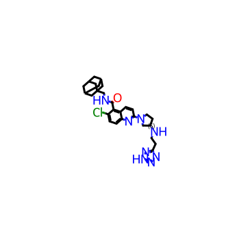 O=C(NCC12CC3CC(CC(C3)C1)C2)c1c(Cl)ccc2nc(N3CC[C@H](NCCc4nn[nH]n4)C3)ccc12